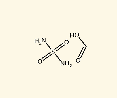 NS(N)(=O)=O.O=CO